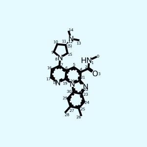 CNC(=O)c1cc2c(N3CC[C@H](N(C)C)C3)ccnc2n2c1nc1cc(C)c(C)cc12